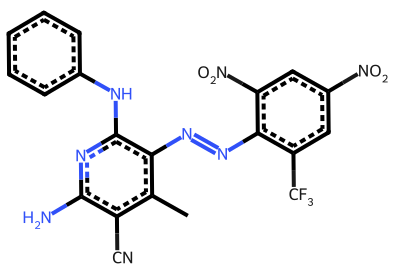 Cc1c(C#N)c(N)nc(Nc2ccccc2)c1/N=N/c1c([N+](=O)[O-])cc([N+](=O)[O-])cc1C(F)(F)F